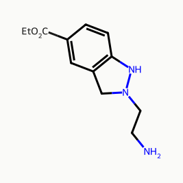 CCOC(=O)c1ccc2c(c1)CN(CCN)N2